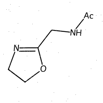 CC(=O)NCC1=NCCO1